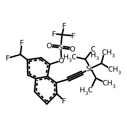 CC(C)[Si](C#Cc1c(F)ccc2cc(C(F)F)cc(OS(=O)(=O)C(F)(F)F)c12)(C(C)C)C(C)C